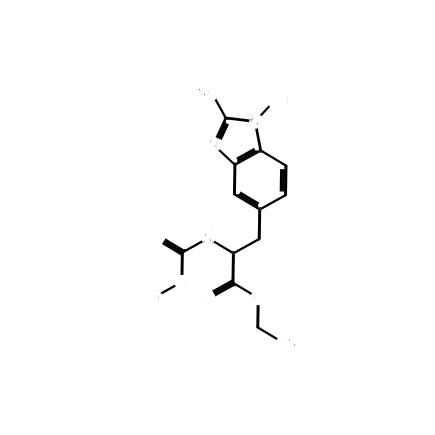 Cn1c(C#N)nc2cc(CC(NC(=O)OC(C)(C)C)C(=O)OCC#N)ccc21